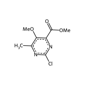 COC(=O)c1nc(Cl)nc(C)c1OC